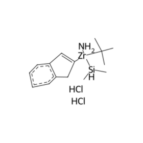 C[SiH](C)[Zr]([NH2])([C]1=Cc2ccccc2C1)[C](C)(C)C.Cl.Cl